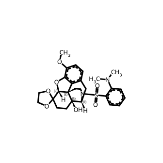 COc1ccc2c3c1O[C@H]1C4(CC[C@@]5(O)[C@@H](C2)N(S(=O)(=O)c2ccccc2N(C)C)CC[C@]315)OCCO4